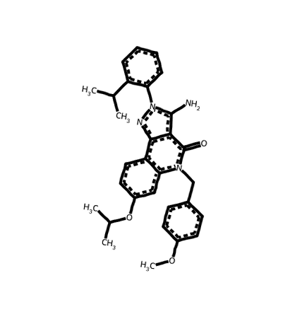 COc1ccc(Cn2c(=O)c3c(N)n(-c4ccccc4C(C)C)nc3c3ccc(OC(C)C)cc32)cc1